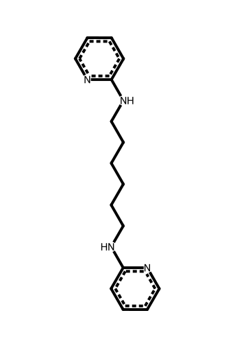 c1ccc(NCCCCCCNc2ccccn2)nc1